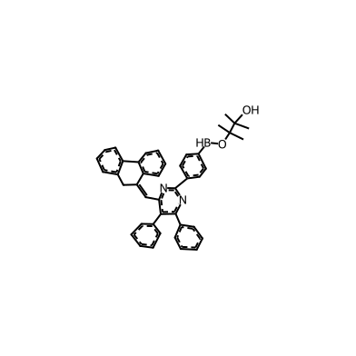 CC(C)(O)C(C)(C)OBc1ccc(-c2nc(/C=C3/Cc4ccccc4-c4ccccc43)c(-c3ccccc3)c(-c3ccccc3)n2)cc1